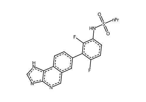 CCCS(=O)(=O)Nc1ccc(F)c(-c2ccc3c(cnc4nc[nH]c43)c2)c1F